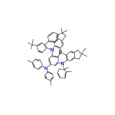 CC1=CC=CCC1(C)N1c2cc3c(cc2B2c4cc5c(cc4N(c4ccc(C(C)(C)C)cc4-c4ccccc4)c4cc(N(c6ccc(C)cc6)c6ccc(C)cc6)cc1c42)CC(C)(C)C5)CC(C)(C)C3